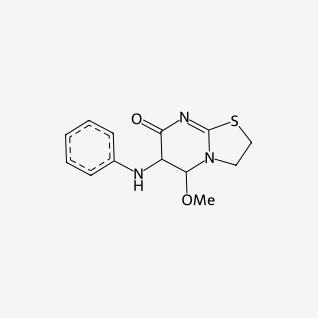 COC1C(Nc2ccccc2)C(=O)N=C2SCCN21